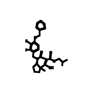 CC(C)COC(=O)C1=C(O)C2(C)CCCN2N(Cc2ccc(OCc3ccccc3)c(F)c2F)C1=O